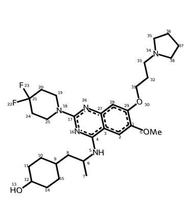 COc1cc2c(NC(C)CC3CCC(O)CC3)nc(N3CCC(F)(F)CC3)nc2cc1OCCCN1CCCC1